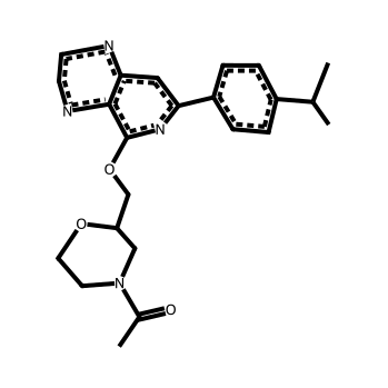 CC(=O)N1CCOC(COc2nc(-c3ccc(C(C)C)cc3)cc3nccnc23)C1